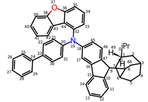 CC(C)[C@@H]1CC2CCC(C1)[C@@H](C1c3ccccc3-c3cc(N(c4ccc(-c5ccccc5)cc4)c4cccc5oc6ccccc6c45)ccc31)C2